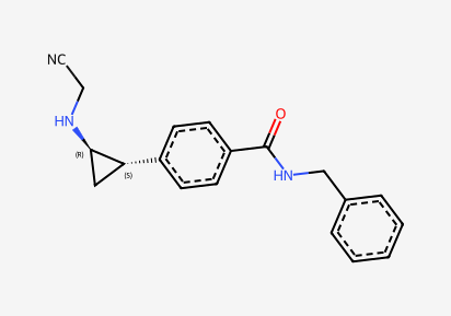 N#CCN[C@@H]1C[C@H]1c1ccc(C(=O)NCc2ccccc2)cc1